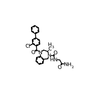 C[C@@H]1CN(C(=O)c2ccc(-c3ccccc3)cc2Cl)c2ccccc2CN1C(=O)NCC(N)=O